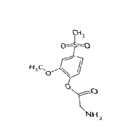 COc1cc(S(C)(=O)=O)ccc1OC(=O)CN